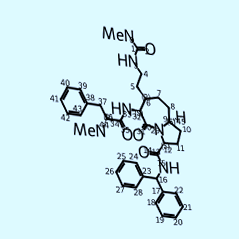 CNC(=O)NCC[C@H]1CC[C@H]2CC[C@@H](C(=O)NC(c3ccccc3)c3ccccc3)N2C(=O)[C@H]1NC(=O)[C@@H](Cc1ccccc1)NC